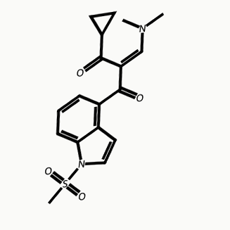 CN(C)C=C(C(=O)c1cccc2c1ccn2S(C)(=O)=O)C(=O)C1CC1